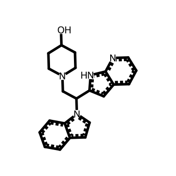 OC1CCN(CC(c2cc3cccnc3[nH]2)n2ccc3ccccc32)CC1